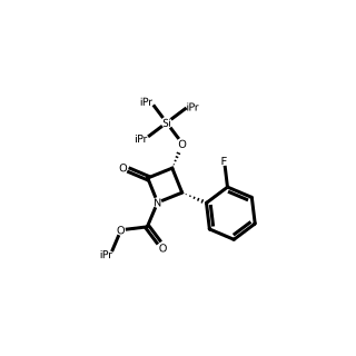 CC(C)OC(=O)N1C(=O)[C@H](O[Si](C(C)C)(C(C)C)C(C)C)[C@@H]1c1ccccc1F